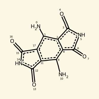 Nc1c2c(=O)[nH]c(=O)c2c(N)c2c(=O)[nH]c(=O)c12